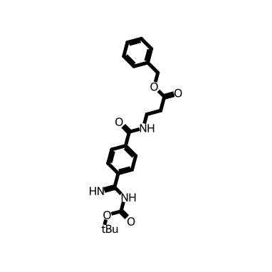 CC(C)(C)OC(=O)NC(=N)c1ccc(C(=O)NCCC(=O)OCc2ccccc2)cc1